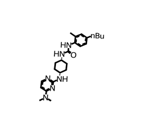 CCCCc1ccc(NC(=O)N[C@H]2CC[C@@H](Nc3nccc(N(C)C)n3)CC2)c(C)c1